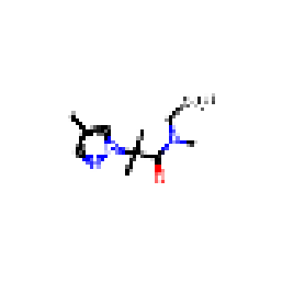 Cc1cnn(C(C)(C)C(=O)N(C)CC(=O)O)c1